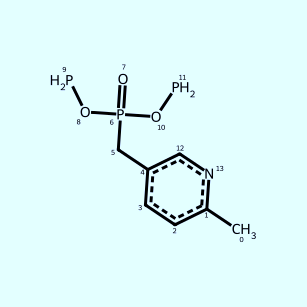 Cc1ccc(CP(=O)(OP)OP)cn1